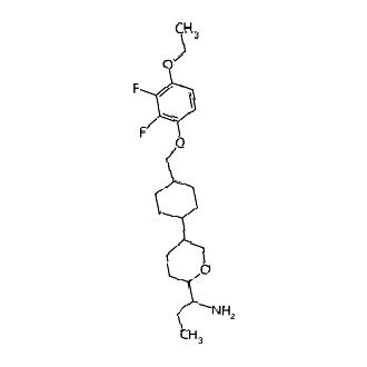 CCOc1ccc(OCC2CCC(C3CCC(C(N)CC)OC3)CC2)c(F)c1F